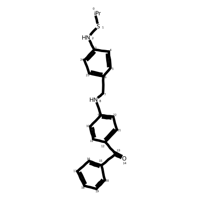 CC(C)SNc1ccc(CNc2ccc(C(=O)c3ccccc3)cc2)cc1